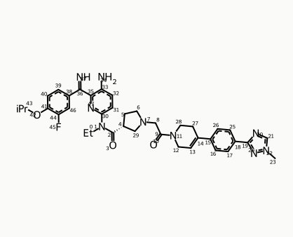 CCN(C(=O)[C@@H]1CCN(CC(=O)N2CC=C(c3ccc(-c4ncn(C)n4)cc3)CC2)C1)c1ccc(N)c(C(=N)c2ccc(OC(C)C)c(F)c2)n1